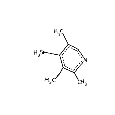 Cc1cnc(C)c(C)c1[SiH3]